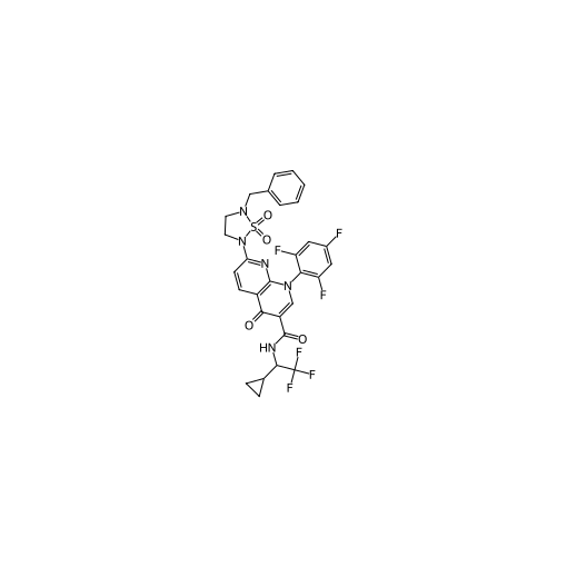 O=C(NC(C1CC1)C(F)(F)F)c1cn(-c2c(F)cc(F)cc2F)c2nc(N3CCN(Cc4ccccc4)S3(=O)=O)ccc2c1=O